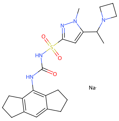 CC(c1cc(S(=O)(=O)NC(=O)Nc2c3c(cc4c2CCC4)CCC3)nn1C)N1CCC1.[Na]